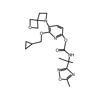 Cc1nc(C(C)(C)NC(=O)Oc2ccc(N3CCC34COC4)c(OCC3CC3)n2)no1